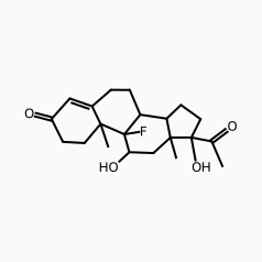 CC(=O)C1(O)CCC2C3CCC4=CC(=O)CCC4(C)C3(F)C(O)CC21C